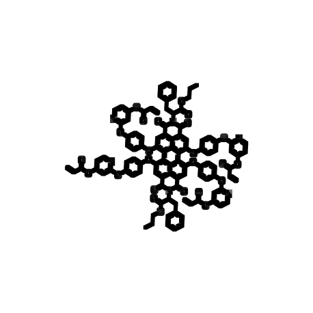 C=CC(=O)Oc1ccnc(Oc2ccc(Oc3cc4c5c(cc(Oc6ccc(Oc7cc(OC(=O)C=C)ccn7)cc6)c6c7c(Oc8ccc(Oc9cc(OC(=O)C=C)ccn9)cc8)cc8c9c(cc(Oc%10ccc(Oc%11cc(OC(=O)C=C)ccn%11)cc%10)c(c3c56)c97)C(=O)N(C(Cc3ccccc3)C(=O)OCCC)C8=O)C(=O)N(C(Cc3ccccc3)C(=O)OCCC)C4=O)cc2)c1